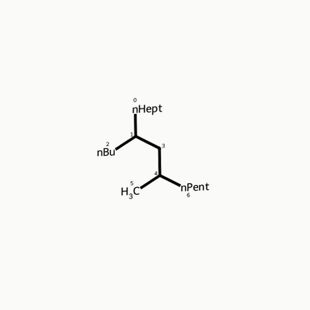 CCCCCCCC(CCCC)CC(C)CCCCC